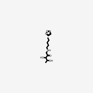 CCCCCNCC(=O)C(O)C(C)O.c1cnon1